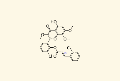 COc1cc(O)c2c(=O)c(OC)c(-c3cccc(Cl)c3OC(=O)/C=C/c3ccccc3Cl)oc2c1OC